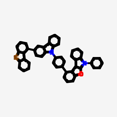 c1ccc(-n2c3ccccc3c3c4c(-c5ccc(-n6c7ccccc7c7cc(-c8cccc9sc%10ccccc%10c89)ccc76)cc5)cccc4oc32)cc1